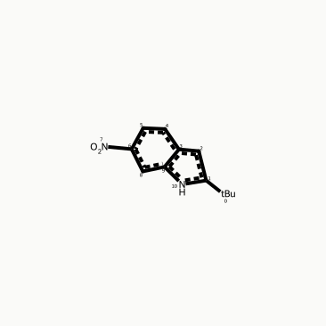 CC(C)(C)c1cc2ccc([N+](=O)[O-])cc2[nH]1